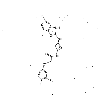 O=C(COc1ccc(Cl)c(F)c1)NC12CC(NC3Nc4cc(Cl)ccc4O3)(C1)C2